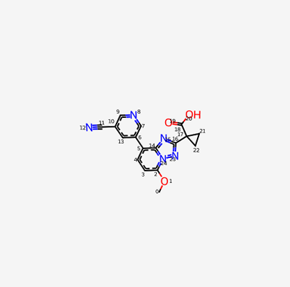 COc1ccc(-c2cncc(C#N)c2)c2nc(C3(C(=O)O)CC3)nn12